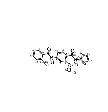 COc1cc(NC(=O)c2ccccc2Cl)ccc1C(=O)Nc1nccs1